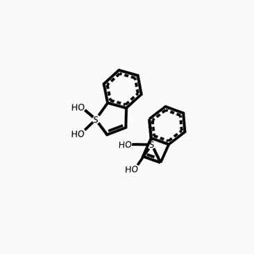 OS1(O)C2=Cc3c2cccc31.OS1(O)C=Cc2ccccc21